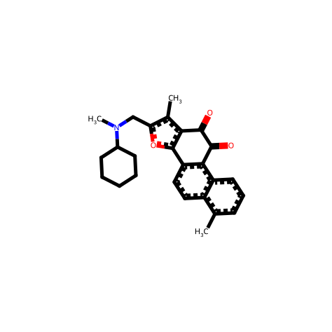 Cc1c(CN(C)C2CCCCC2)oc2c1C(=O)C(=O)c1c-2ccc2c(C)cccc12